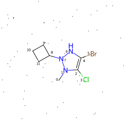 CN1C(Cl)=C(Br)NN1C1CCC1